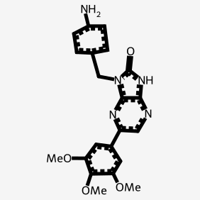 COc1cc(-c2cnc3[nH]c(=O)n(Cc4ccc(N)cc4)c3n2)cc(OC)c1OC